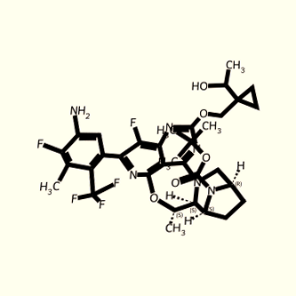 Cc1c(F)c(N)cc(-c2nc3c4c(nc(OCC5(C(C)O)CC5)nc4c2F)N2C[C@H]4CC[C@@H]([C@H]2[C@H](C)O3)N4C(=O)OC(C)(C)C)c1C(F)(F)F